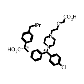 CC(C)Cc1ccc([C@H](C)C(=O)O)cc1.O=C(O)COCCN1CCN([C@H](c2ccccc2)c2ccc(Cl)cc2)CC1